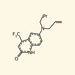 C=CCN(CC(C)C)c1ccc2[nH]c(=O)cc(C(F)(F)F)c2c1